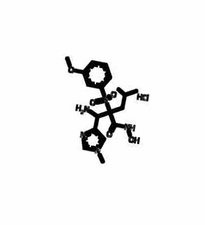 COc1cccc(S(=O)(=O)C(CC(C)C)(C(=O)NO)C(N)c2cn(C)cn2)c1.Cl